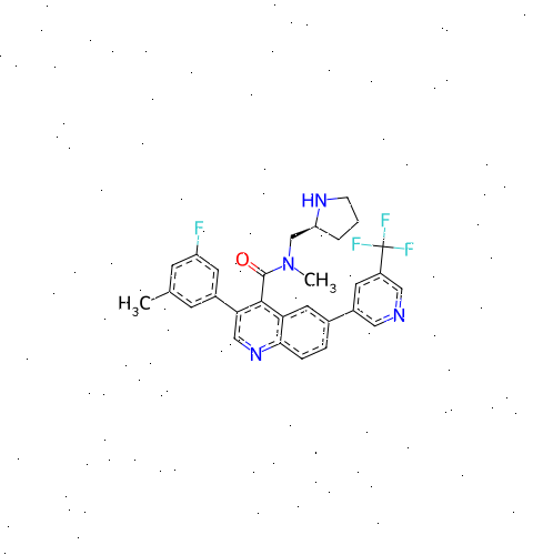 Cc1cc(F)cc(-c2cnc3ccc(-c4cncc(C(F)(F)F)c4)cc3c2C(=O)N(C)C[C@@H]2CCCN2)c1